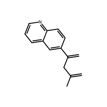 C=C(C)CC(=C)c1ccc2ncccc2c1